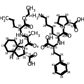 CCC[C@H](N[C@@H](C)C(=O)N1[C@H](C(=O)O)C[C@@H]2CCCC[C@@H]21)C(=O)OCC.NCCCC[C@H](N[C@@H](CCc1ccccc1)C(=O)O)C(=O)N1CCC[C@H]1C(=O)O